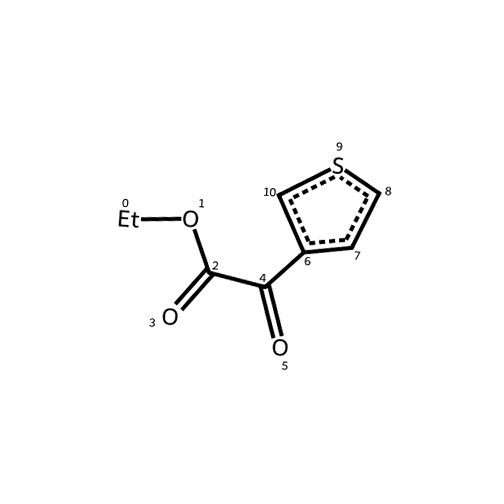 CCOC(=O)C(=O)c1ccsc1